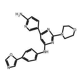 Nc1ccc(-c2cc(Nc3ccc(-c4cnco4)cc3)nc(N3CCOCC3)n2)cn1